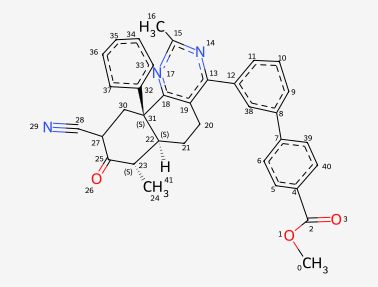 COC(=O)c1ccc(-c2cccc(-c3nc(C)nc4c3CC[C@H]3[C@H](C)C(=O)C(C#N)C[C@]43c3ccccc3)c2)cc1